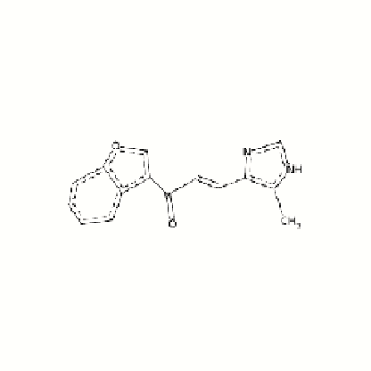 Cc1[nH]cnc1C=CC(=O)c1coc2ccccc12